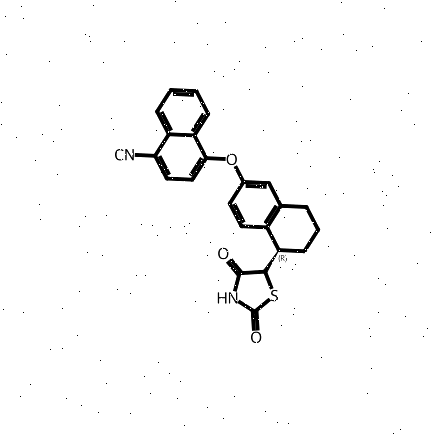 [C-]#[N+]c1ccc(Oc2ccc3c(c2)CCC[C@H]3C2SC(=O)NC2=O)c2ccccc12